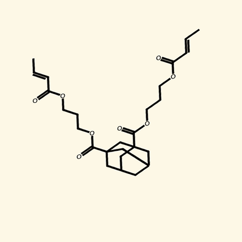 CC=CC(=O)OCCCOC(=O)C12CC3CC(C1)CC(C(=O)OCCCOC(=O)C=CC)(C3)C2